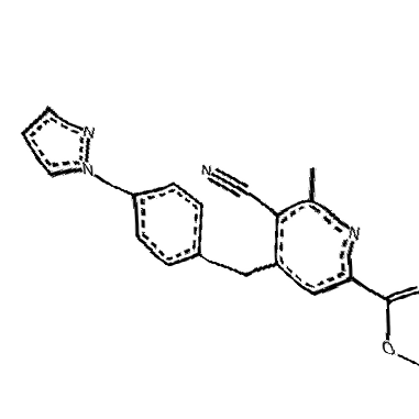 COC(=O)c1cc(Cc2ccc(-n3cccn3)cc2)c(C#N)c(C)n1